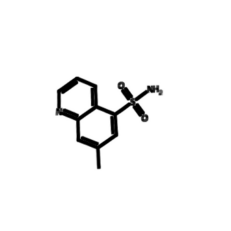 Cc1cc(S(N)(=O)=O)c2cccnc2c1